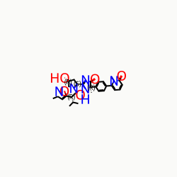 Cc1cc([C@H](C(=O)N2C[C@H](O)C[C@H]2C2=NC(=O)[C@@](C)(c3ccc(-c4cccc(=O)n4C)cc3)N2)C(C)C)on1